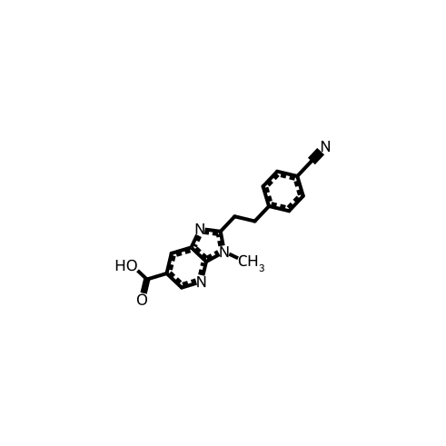 Cn1c(CCc2ccc(C#N)cc2)nc2cc(C(=O)O)cnc21